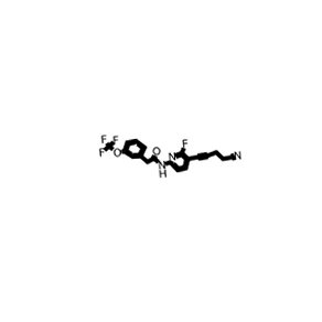 N#CCCC#Cc1ccc(NC(=O)Cc2cccc(OC(F)(F)F)c2)nc1F